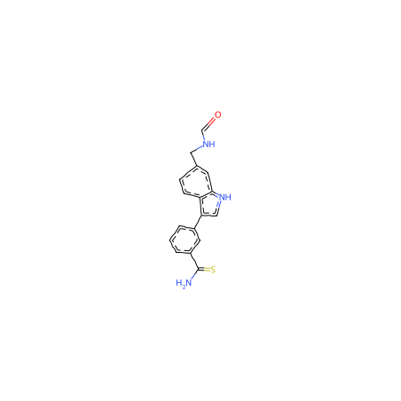 NC(=S)c1cccc(-c2c[nH]c3cc(CNC=O)ccc23)c1